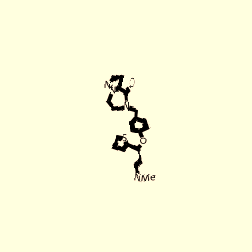 CNCC[C@H](Oc1ccc(CN2CCCn3nccc3C2=O)cc1)c1cccs1